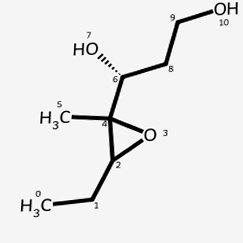 CCC1OC1(C)[C@H](O)CCO